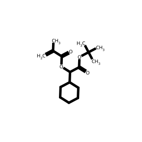 C=C(C)C(=O)OC(C(=O)OC(C)(C)C)C1CCCCC1